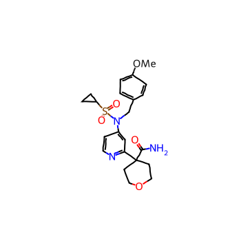 COc1ccc(CN(c2ccnc(C3(C(N)=O)CCOCC3)c2)S(=O)(=O)C2CC2)cc1